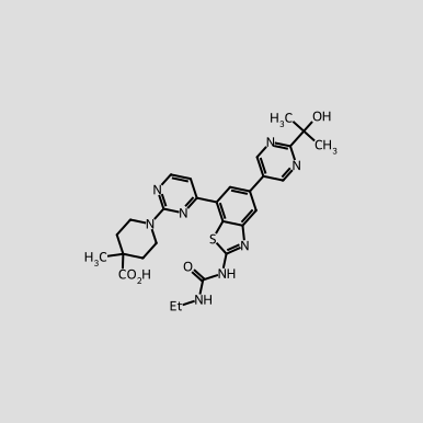 CCNC(=O)Nc1nc2cc(-c3cnc(C(C)(C)O)nc3)cc(-c3ccnc(N4CCC(C)(C(=O)O)CC4)n3)c2s1